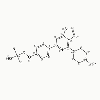 CCCN1CCN(c2nc(-c3ccc(OCC(C)(C)O)cc3)cc3sccc23)CC1